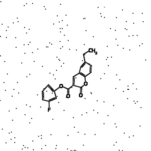 CCc1ccc2oc(=O)c(C(=O)Oc3cccc(F)c3)cc2c1